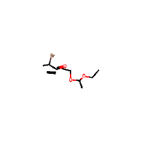 C=C.CC(Br)C=O.CCOC(C)OCC